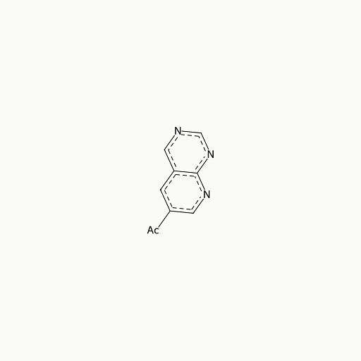 CC(=O)c1cnc2ncncc2c1